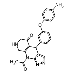 CC(=O)N1C2=C(C(=O)CNC2)C(c2cccc(Oc3ccc(N)cc3)c2)c2c[nH]nc21